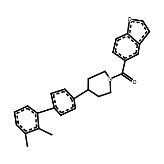 Cc1cccc(-c2ccc(C3CCN(C(=O)c4ccc5occc5c4)CC3)cc2)c1C